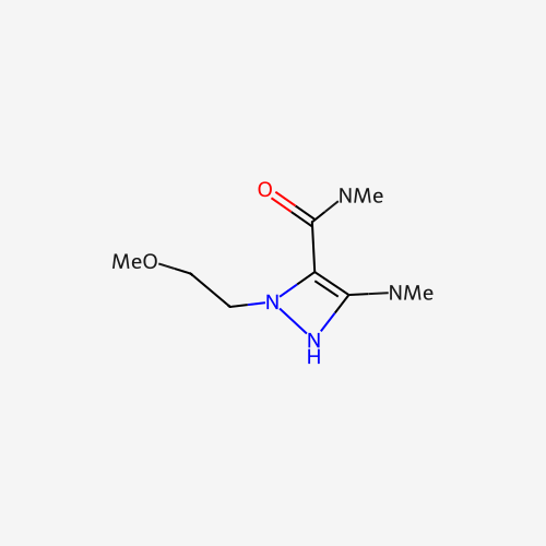 CNC(=O)c1c(NC)[nH]n1CCOC